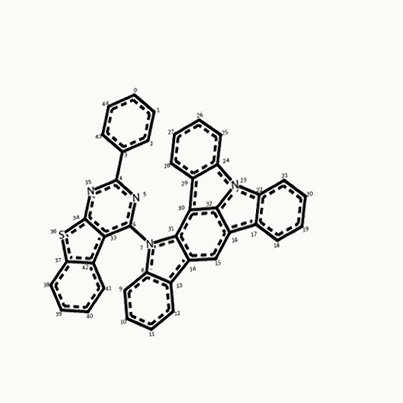 c1ccc(-c2nc(-n3c4ccccc4c4cc5c6ccccc6n6c7ccccc7c(c43)c56)c3c(n2)sc2ccccc23)cc1